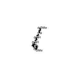 COC(=O)CCC(=O)SCCNC(=O)CCNC(=O)[C@@H]1OC(C)(CC(=O)OC)OCC1(C)C